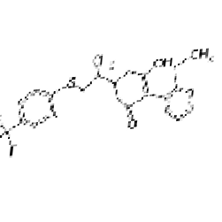 CCc1ccccc1C1=C(O)CC(C(C)CSc2ccc(C(F)(F)F)cn2)CC1=O